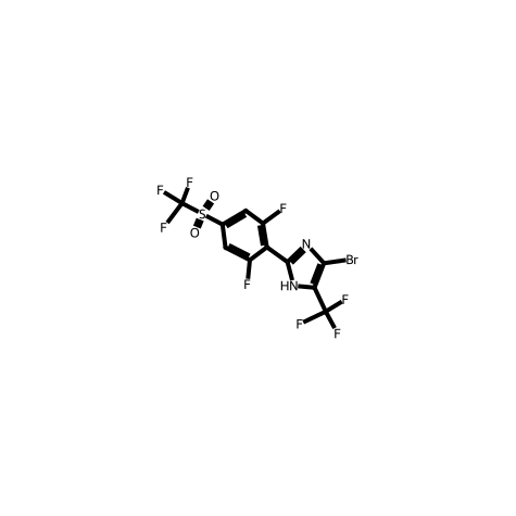 O=S(=O)(c1cc(F)c(-c2nc(Br)c(C(F)(F)F)[nH]2)c(F)c1)C(F)(F)F